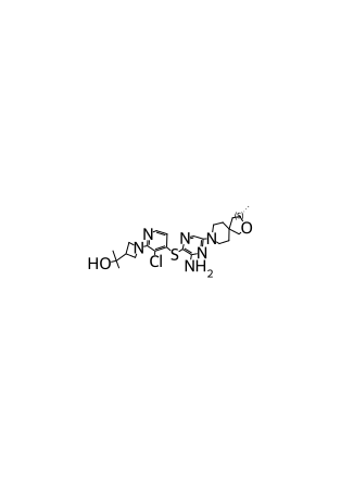 C[C@H]1CC2(CCN(c3cnc(Sc4ccnc(N5CC(C(C)(C)O)C5)c4Cl)c(N)n3)CC2)CO1